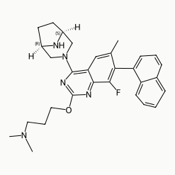 Cc1cc2c(N3C[C@H]4CC[C@@H](C3)N4)nc(OCCCN(C)C)nc2c(F)c1-c1cccc2ccccc12